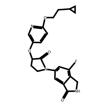 O=C1NCc2c(F)cc(N3CCC(Oc4ccc(OCCC5CC5)nc4)C3=O)cc21